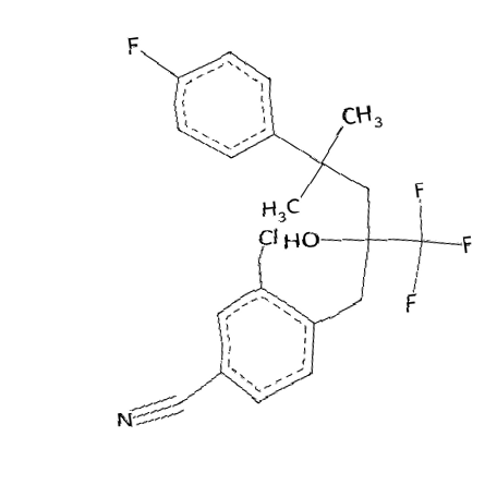 CC(C)(CC(O)(Cc1ccc(C#N)cc1Cl)C(F)(F)F)c1ccc(F)cc1